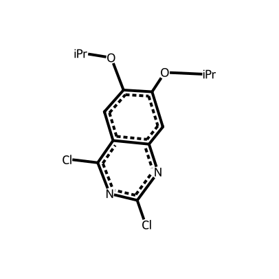 CC(C)Oc1cc2nc(Cl)nc(Cl)c2cc1OC(C)C